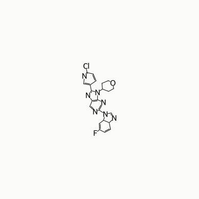 FC1=CC2C(C=C1)N=CN2c1ncc2nc(-c3ccc(Cl)nc3)n(C3CCOCC3)c2n1